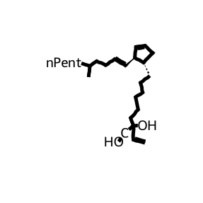 C=CC(O)(CO)CCCCCC[C@H]1CC=C[C@@H]1C=CCCC(C)CCCCC